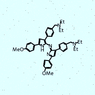 CCN(CC)Cc1ccc(C2=CC(c3ccc(OC)cc3)=N/C2=N\c2[nH]c(-c3ccc(OC)cc3)cc2-c2ccc(CN(CC)CC)cc2)cc1